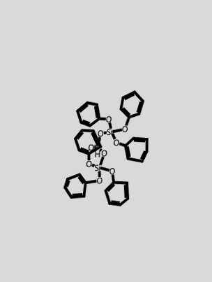 O=[PH](O[Si](Oc1ccccc1)(Oc1ccccc1)Oc1ccccc1)O[Si](Oc1ccccc1)(Oc1ccccc1)Oc1ccccc1